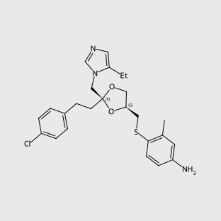 CCc1cncn1C[C@@]1(CCc2ccc(Cl)cc2)OC[C@@H](CSc2ccc(N)cc2C)O1